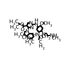 C=CC(=O)Nc1cc(Nc2ncc(C(=O)OC(C)C)c(N3CC(C)(C)c4nc(C)ccc43)n2)c(OC)cc1N(C)CCNC